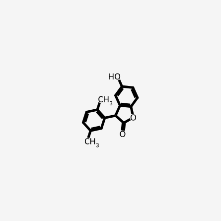 Cc1ccc(C)c(C2C(=O)Oc3ccc(O)cc32)c1